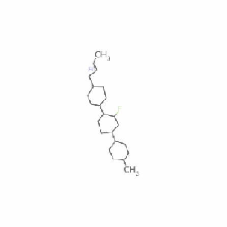 C/C=C/CC1CCC(C2CCC(C3CCC(C)CC3)CC2F)CC1